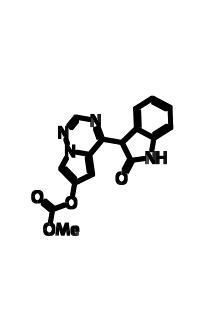 COC(=O)Oc1cc2c(C3C(=O)Nc4ccccc43)ncnn2c1